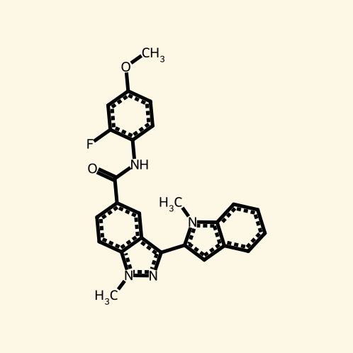 COc1ccc(NC(=O)c2ccc3c(c2)c(-c2cc4ccccc4n2C)nn3C)c(F)c1